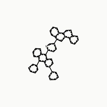 c1ccc(-c2ccc3c(-c4ccc(-c5cc6c7ccccc7ccc6c6ccccc56)cn4)c4ccccc4c(-c4ccccc4)c3c2)cc1